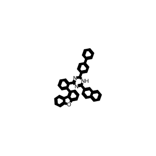 c1ccc(-c2ccc(C3N=C(c4ccccc4-c4cccc5oc6ccccc6c45)N=C(c4ccc5ccccc5c4)N3)cc2)cc1